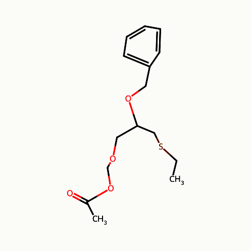 CCSCC(COCOC(C)=O)OCc1ccccc1